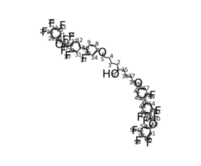 OC(CCCCOc1ccc(-c2cc(F)c(C(F)(F)Oc3cc(F)c(F)c(F)c3)c(F)c2)c(F)c1)CCCCOc1ccc(-c2cc(F)c(C(F)(F)Oc3cc(F)c(F)c(F)c3)c(F)c2)c(F)c1